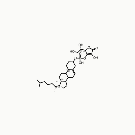 CC(C)CCC[C@@H](C)[C@H]1CCC2C3CC=C4CC(OP(=O)(O)OC5=C(O)C(=O)O[C@@H]5[C@@H](O)CO)CC[C@]4(C)C3CC[C@@]21C